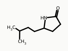 CC(C)CCC1CCC(=O)N1